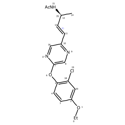 CCOc1ccc(Oc2cnc(/C=C/[C@H](C)NC(C)=O)cn2)c(Cl)c1